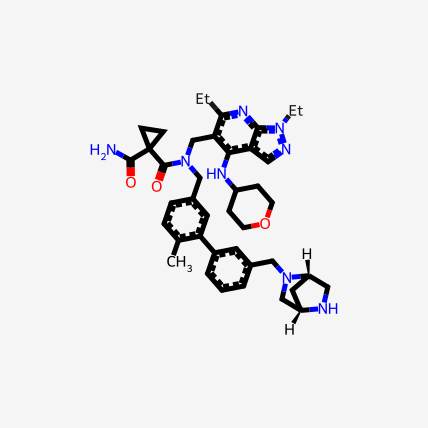 CCc1nc2c(cnn2CC)c(NC2CCOCC2)c1CN(Cc1ccc(C)c(-c2cccc(CN3C[C@@H]4C[C@H]3CN4)c2)c1)C(=O)C1(C(N)=O)CC1